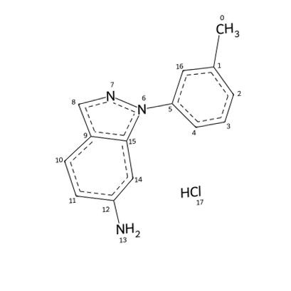 Cc1cccc(-n2ncc3ccc(N)cc32)c1.Cl